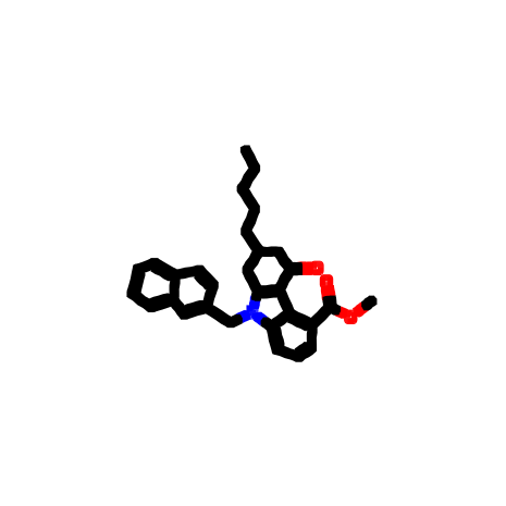 CCCCCC1CC(=O)c2c(n(Cc3ccc4ccccc4c3)c3cccc(C(=O)OC)c23)C1